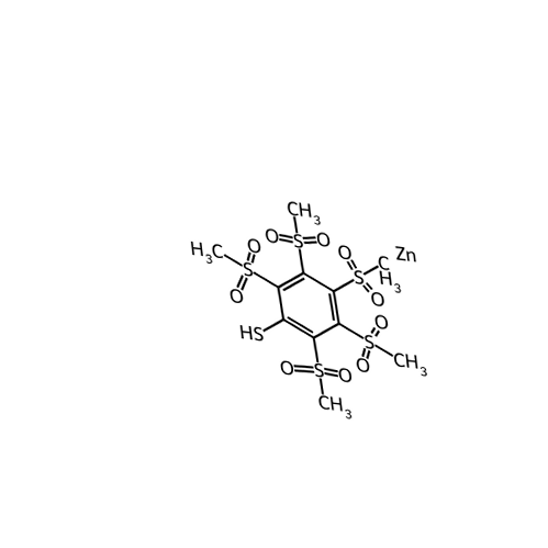 CS(=O)(=O)c1c(S)c(S(C)(=O)=O)c(S(C)(=O)=O)c(S(C)(=O)=O)c1S(C)(=O)=O.[Zn]